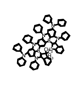 CC1(C)C2=C(c3ccccc31)N(c1ccccc1)c1cc(N(c3ccccc3)c3ccccc3)cc3c1B2c1cc2c(cc1N3c1ccccc1)N(c1ccccc1)c1cc(N(c3ccccc3)c3ccccc3)cc3c1B2c1sc2ccccc2c1N3c1ccccc1